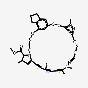 COC(=O)C1C(C)C=C2\C=C/C(Cl)=C/C=C(\C)N(C)/N=C/CSCc3cc(n(C)n3)CSc3cc4c(c(c3)OCCCN21)CCC4